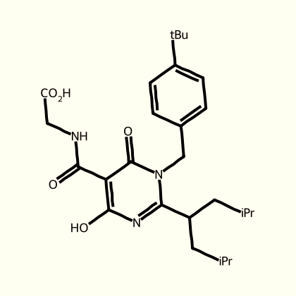 CC(C)CC(CC(C)C)c1nc(O)c(C(=O)NCC(=O)O)c(=O)n1Cc1ccc(C(C)(C)C)cc1